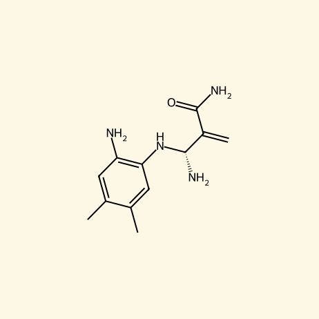 C=C(C(N)=O)[C@H](N)Nc1cc(C)c(C)cc1N